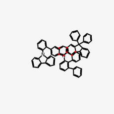 c1ccc(-c2ccccc2-c2c(-c3ccccc3)cccc2N(c2ccc(-c3ccccc3-n3c4ccccc4c4ccccc43)cc2)c2ccc3c(c2)-c2ccccc2C3(c2ccccc2)c2ccccc2)cc1